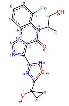 COC1(c2nc(-c3ncn4c3c(=O)n(C(C)CO)c3c(F)cccc34)no2)CC1